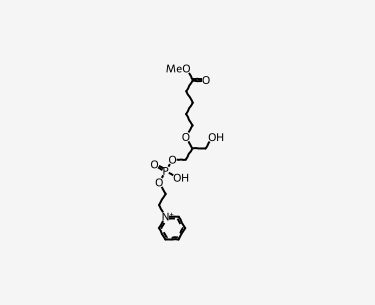 COC(=O)CCCCOC(CO)COP(=O)(O)OCC[n+]1ccccc1